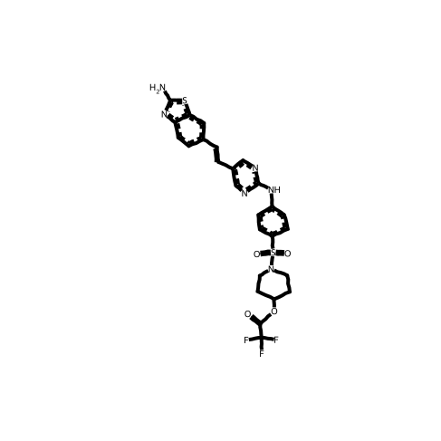 Nc1nc2ccc(/C=C/c3cnc(Nc4ccc(S(=O)(=O)N5CCC(OC(=O)C(F)(F)F)CC5)cc4)nc3)cc2s1